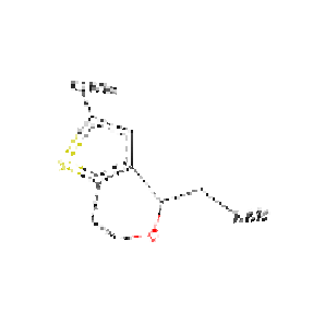 CNCC1OCCc2sc(OC)cc21